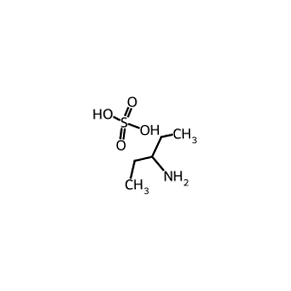 CCC(N)CC.O=S(=O)(O)O